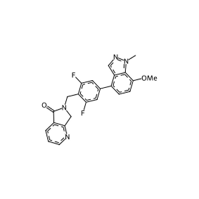 COc1ccc(-c2cc(F)c(CN3Cc4ncccc4C3=O)c(F)c2)c2cnn(C)c12